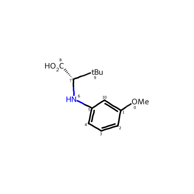 COc1cccc(N[C@H](C(=O)O)C(C)(C)C)c1